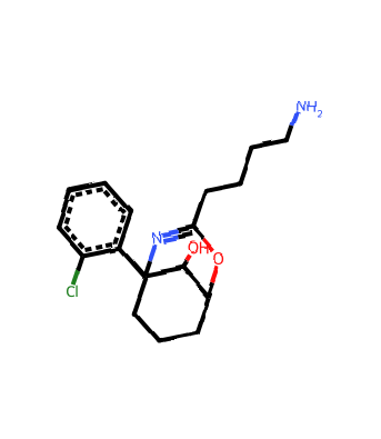 NCCCCC1=NC2(c3ccccc3Cl)CCCC(O1)C2O